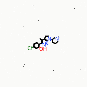 Cc1c(-c2ccc(Cl)cc2O)nnc2c1CCN2[C@@H]1CCCN(C)C1